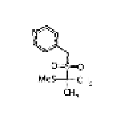 CSC(C)(C)S(=O)(=O)Cc1ccncc1